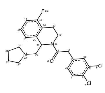 O=C(Cc1ccc(Cl)c(Cl)c1)N1CCc2c(F)cccc2C1CN1CCCC1